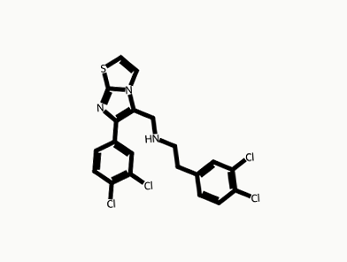 Clc1ccc(CCNCc2c(-c3ccc(Cl)c(Cl)c3)nc3sccn23)cc1Cl